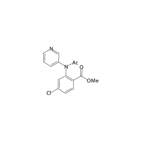 COC(=O)c1ccc(Cl)cc1N(C(C)=O)c1cccnc1